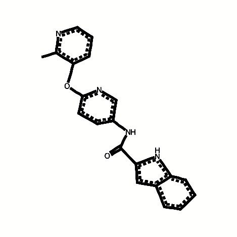 Cc1ncccc1Oc1ccc(NC(=O)c2cc3ccccc3[nH]2)cn1